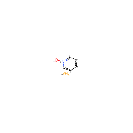 P.[O-][n+]1ccccc1